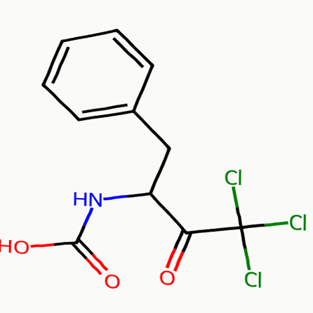 O=C(O)NC(Cc1ccccc1)C(=O)C(Cl)(Cl)Cl